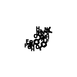 Cc1nc(Nc2[nH]nc(-c3ccc(NS(=O)(=O)C(F)F)c(OC(C)c4ccc(F)cc4)c3)c2C(N)=O)sc1C